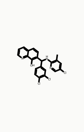 Cc1cc(Cl)cnc1NC(c1ccc(Cl)c(Cl)c1)c1ccc2cccnc2c1O